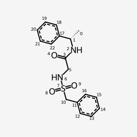 C[C@H](NC(=O)CNS(=O)(=O)Cc1ccccc1)c1ccccc1